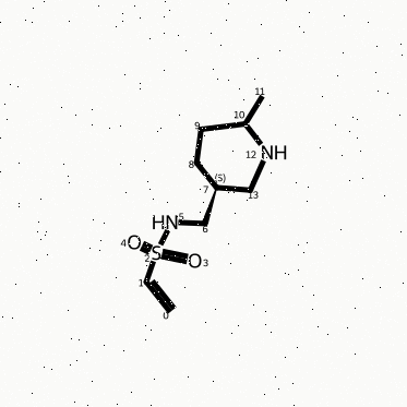 C=CS(=O)(=O)NC[C@H]1CCC(C)NC1